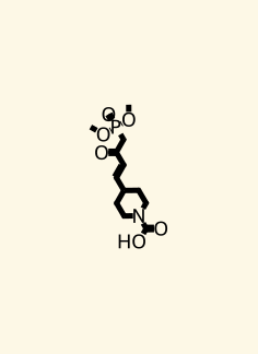 COP(=O)(CC(=O)C=CC1CCN(C(=O)O)CC1)OC